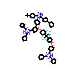 CC(C)(C)c1ccc(-c2nnc(-c3ccc(-c4ccccc4)cc3)n2-c2ccc(-c3cc(-c4nc(-c5ccccc5)nc(-c5ccccc5)n4)ccc3Oc3ccc(C(c4ccc(Oc5ccc(-c6nc(-c7ccccc7)nc(-c7ccccc7)n6)cc5)cc4)(C(F)(F)F)C(F)(F)F)cc3)cc2)cc1